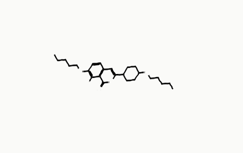 CCCCCOc1ccc2cc(C3CCC(OCCCCC)CC3)oc(=O)c2c1F